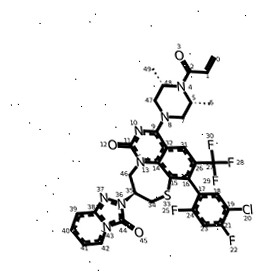 C=CC(=O)N1[C@H](C)CN(c2nc(=O)n3c4c(c(-c5cc(Cl)c(F)cc5F)c(C(F)(F)F)cc24)SC[C@@H](n2nc4ccccn4c2=O)C3)C[C@@H]1C